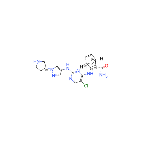 NC(=O)[C@@H]1[C@H](Nc2nc(Nc3cnn([C@@H]4CCNC4)c3)ncc2Cl)[C@H]2C=C[C@@H]1C2